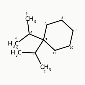 CC(C)C1(C(C)C)[CH]CCCC1